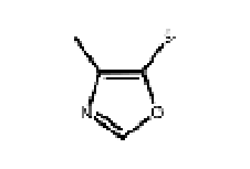 Cc1ncoc1[S]